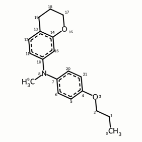 CCCOc1ccc(N(C)c2ccc3c(c2)OCCC3)cc1